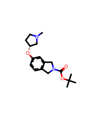 CN1CC[C@@H](Oc2ccc3c(c2)CN(C(=O)OC(C)(C)C)C3)C1